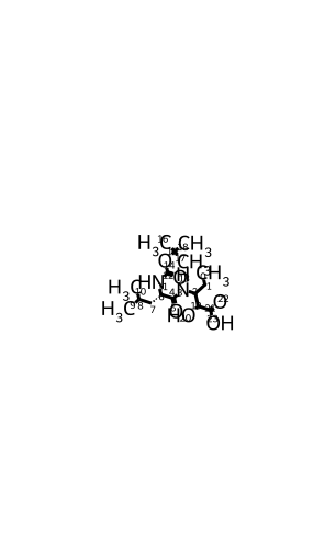 CCC(NC(=O)[C@H](CC(C)C)NC(=O)OC(C)(C)C)C(O)C(=O)O